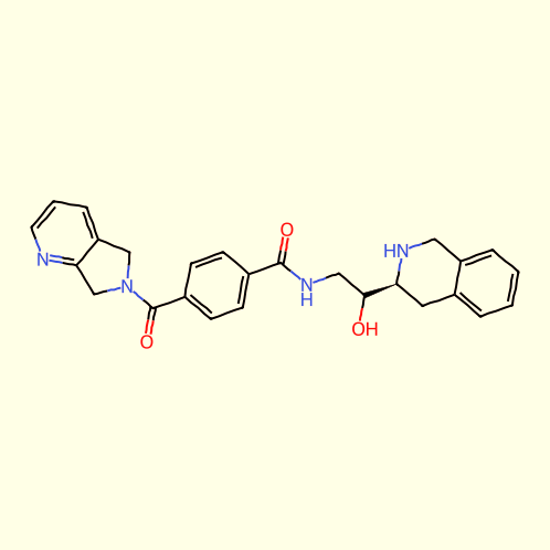 O=C(NCC(O)[C@@H]1Cc2ccccc2CN1)c1ccc(C(=O)N2Cc3cccnc3C2)cc1